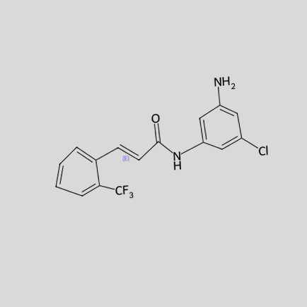 Nc1cc(Cl)cc(NC(=O)/C=C/c2ccccc2C(F)(F)F)c1